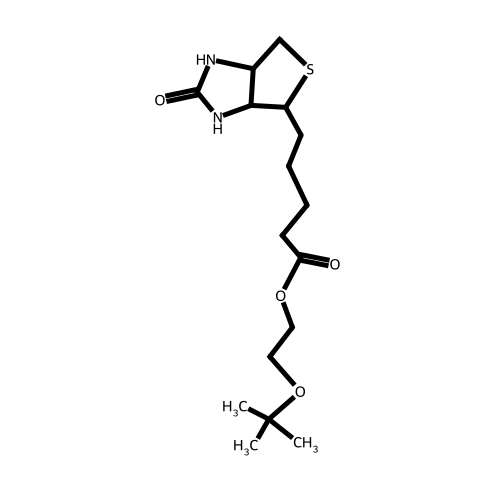 CC(C)(C)OCCOC(=O)CCCCC1SCC2NC(=O)NC21